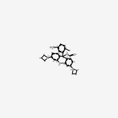 Cc1ccc(N)cc1C1(OC=O)c2ccc(N3CCC3)cc2Oc2cc(N3CCC3)ccc21